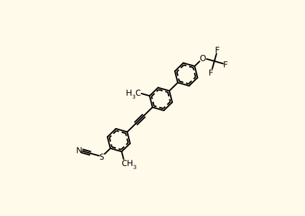 Cc1cc(-c2ccc(OC(F)(F)F)cc2)ccc1C#Cc1ccc(SC#N)c(C)c1